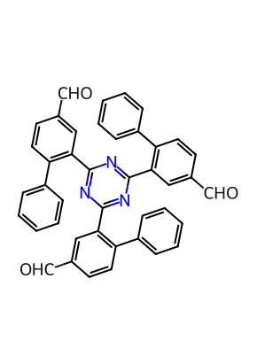 O=Cc1ccc(-c2ccccc2)c(-c2nc(-c3cc(C=O)ccc3-c3ccccc3)nc(-c3cc(C=O)ccc3-c3ccccc3)n2)c1